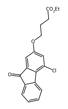 CCOC(=O)CCCOc1cc(Cl)c2c(c1)C(=O)c1ccccc1-2